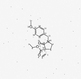 C=C[C@@]1(C(=O)OCC)CCN(Cc2ccc(OC)cc2)C1=O